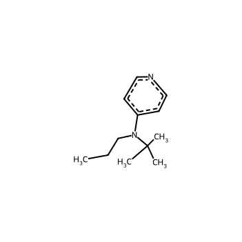 CCCN(c1ccncc1)C(C)(C)C